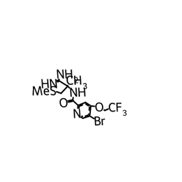 CSCC(C)(NC(=O)c1cc(OCC(F)(F)F)c(Br)cn1)C(=N)N